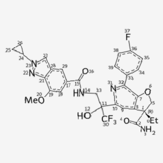 CC[C@]1(C(N)=O)COc2c1cc(C(O)(CNC(=O)c1cc(OC)c3nn(C4CC4)cc3c1)C(F)(F)F)nc2-c1ccc(F)cc1